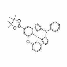 CC1(C)OB(c2ccc3c(c2)Oc2ccccc2C32c3ccccc3N(c3ccccc3)c3ccccc32)OC1(C)C